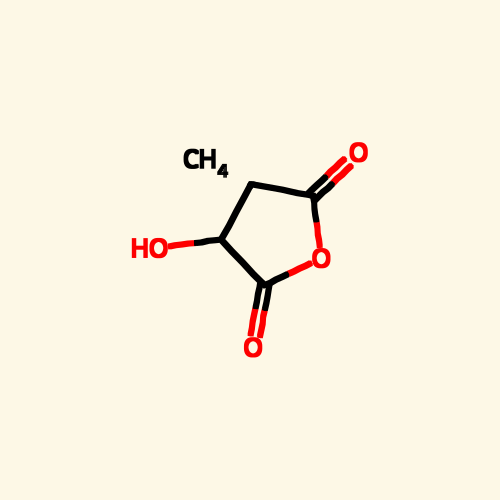 C.O=C1CC(O)C(=O)O1